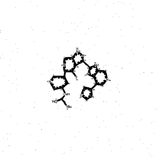 CC(C)(C)C(O)Nc1cncc(-c2ncc3[nH]nc(-c4nc5c(-c6ccoc6)cncc5[nH]4)c3c2F)c1